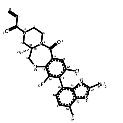 C=CC(=O)N1CCN2C(=O)c3cc(Cl)c(-c4ccc(F)c5sc(N)nc45)c(F)c3OC[C@H]2C1